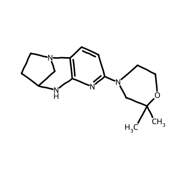 CC1(C)CN(c2ccc3c(n2)NC2CCN3C2)CCO1